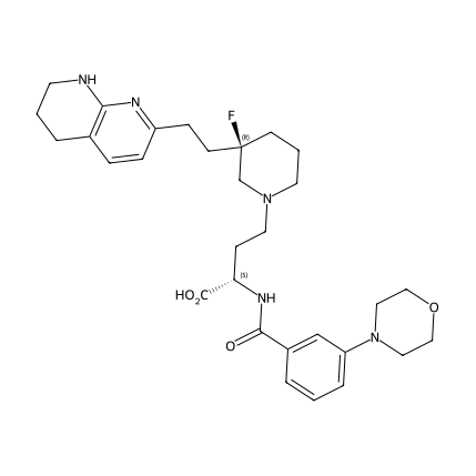 O=C(N[C@@H](CCN1CCC[C@@](F)(CCc2ccc3c(n2)NCCC3)C1)C(=O)O)c1cccc(N2CCOCC2)c1